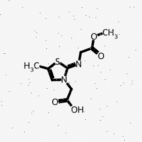 COC(=O)C/N=c1\sc(C)cn1CC(=O)O